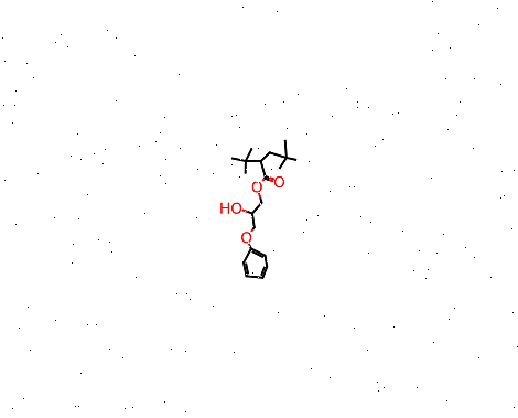 CC(C)(C)CC(C(=O)OCC(O)COc1ccccc1)C(C)(C)C